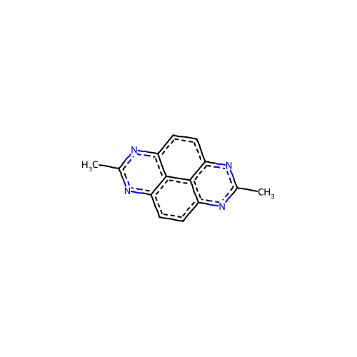 Cc1nc2ccc3nc(C)nc4ccc(n1)c2c34